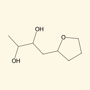 CC(O)C(O)CC1CCCO1